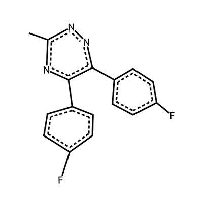 Cc1nnc(-c2ccc(F)cc2)c(-c2ccc(F)cc2)n1